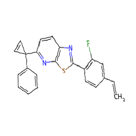 C=Cc1ccc(-c2nc3ccc(C4(c5ccccc5)C=C4)nc3s2)c(F)c1